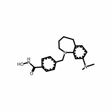 CN(C)c1ccc2c(c1)N(Cc1ccc(C(=O)NO)cc1)CCCC2